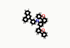 c1cc(-c2cc3ccccc3c3ccccc23)cc(N(c2cccc(-c3cccc4c3oc3ccccc34)c2)c2cccc3oc4ccccc4c23)c1